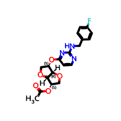 CC(=O)O[C@H]1CO[C@H]2[C@@H]1OC[C@@H]2Oc1ccnc(NCc2ccc(F)cc2)n1